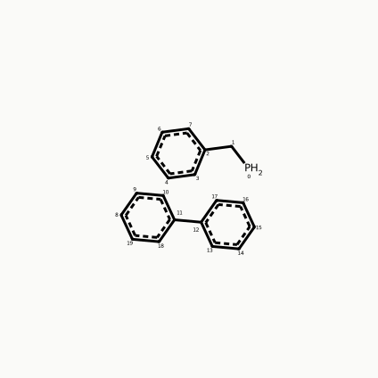 PCc1ccccc1.c1ccc(-c2ccccc2)cc1